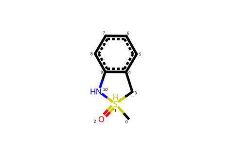 C[SH]1(=O)Cc2ccccc2N1